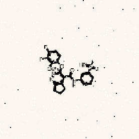 COc1c(Oc2nnc3c(c2C(=O)Nc2cccc(S(C)(=N)=O)c2)CCC3)ccc(F)c1F